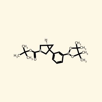 CC(C)(C)OC(=O)N1C[C@H]2CC2(c2cccc(B3OC(C)(C)C(C)(C)O3)c2)C1